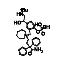 CC(C)(C)NCC(O)c1ccc(OP(=O)(O)O)c(C[N+]2(CCC(C(N)=O)(c3ccccc3)c3ccccc3)CCCCCC2)c1